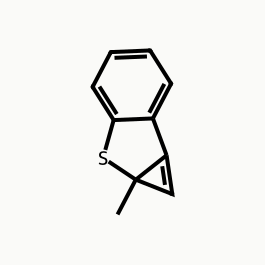 CC12C=C1c1ccccc1S2